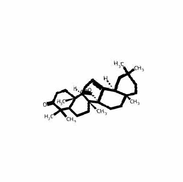 CC1(C)CC[C@]2(C)CC[C@]3(C(=O)O)C(=CC[C@@H]4[C@@]5(C)CCC(=O)C(C)(C)C5CC[C@]43C)[C@H]2C1